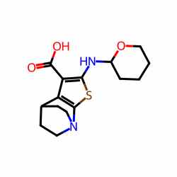 O=C(O)c1c(NC2CCCCO2)sc2c1C1CCN2CC1